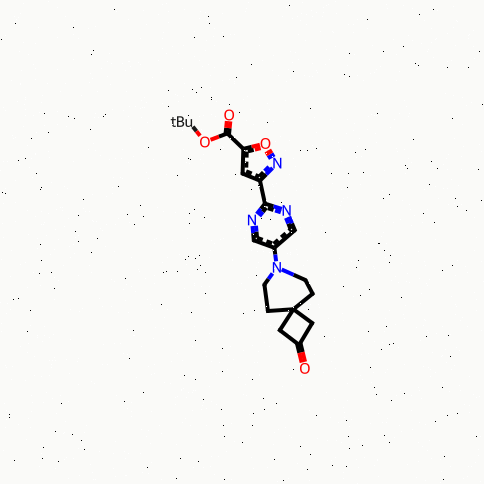 CC(C)(C)OC(=O)c1cc(-c2ncc(N3CCC4(CC3)CC(=O)C4)cn2)no1